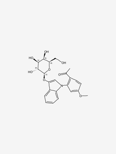 COc1ccc(C(C)=O)c(-n2cc(O[C@@H]3O[C@H](CO)[C@H](O)[C@H](O)[C@H]3O)c3ccccc32)c1